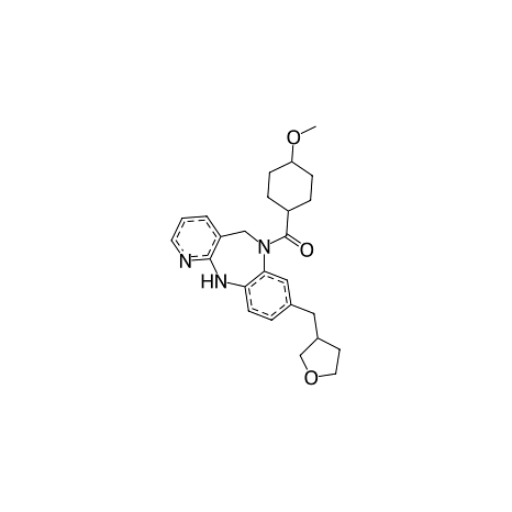 COC1CCC(C(=O)N2Cc3cccnc3Nc3ccc(CC4CCOC4)cc32)CC1